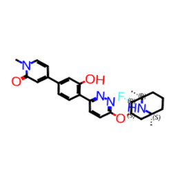 Cn1ccc(-c2ccc(-c3ccc(O[C@H]4C[C@]5(C)CCC[C@@](C)(N5)[C@H]4F)nn3)c(O)c2)cc1=O